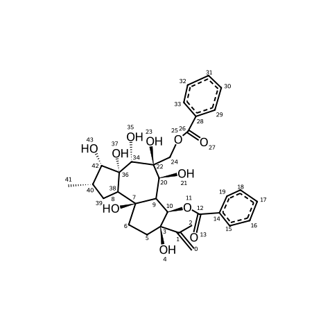 C=C(C)[C@]1(O)CC[C@@]2(O)C([C@H]1OC(=O)c1ccccc1)[C@H](O)[C@@](O)(COC(=O)c1ccccc1)[C@@H](O)[C@@]1(O)C2C[C@H](C)[C@@H]1O